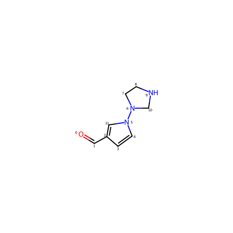 O=Cc1ccn(N2CCNC2)c1